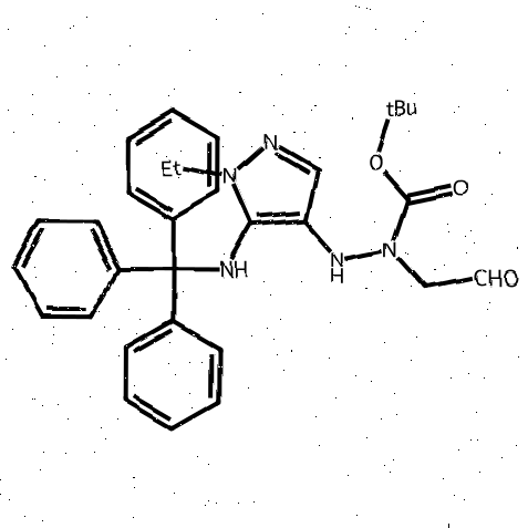 CCn1ncc(NN(CC=O)C(=O)OC(C)(C)C)c1NC(c1ccccc1)(c1ccccc1)c1ccccc1